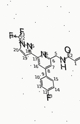 C=CC(=O)NCc1cc(-c2ccc(F)cc2)cc(-c2ccn(C(F)F)n2)n1